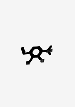 C=Cc1ccc([SiH](C)C)c(Cl)c1Cl